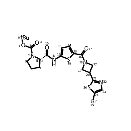 CC(C)(C)OC(=O)N1CCC[C@H]1C(=O)Nc1ccc(C(=O)N2CC(c3ncc(Br)s3)C2)s1